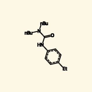 CCCCN(CCCC)C(=O)Nc1ccc(CC)cc1